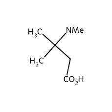 CNC(C)(C)CC(=O)O